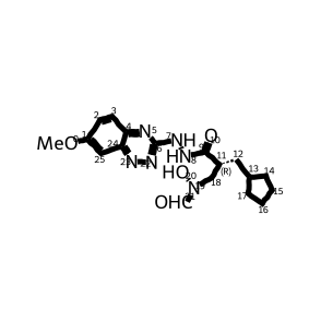 COc1ccc2nc(NNC(=O)[C@H](CC3CCCC3)CN(O)C=O)nnc2c1